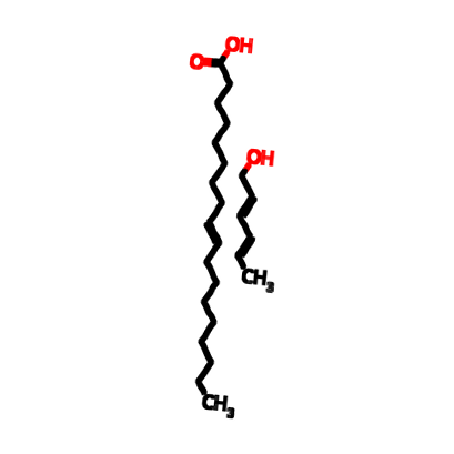 CC=CC=CCO.CCCCCCCCC=CCCCCCCCC(=O)O